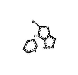 Brc1cc2cc[nH]c2[nH]1.c1ccncc1